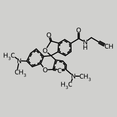 C#CCNC(=O)c1ccc2c(c1)C(=O)OC21c2ccc(N(C)C)cc2Oc2cc(N(C)C)ccc21